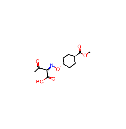 COC(=O)[C@H]1CC[C@H](O/N=C(/C(C)=O)C(=O)O)CC1